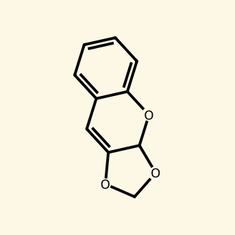 C1=C2OCOC2Oc2ccccc21